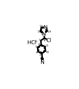 Cl.N#Cc1ccc(CC(Cl)n2ccnc2)cc1